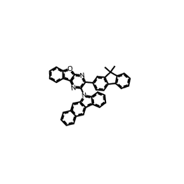 CC1(C)c2ccccc2-c2ccc(-c3nc4oc5ccccc5c4nc3-n3c4ccccc4c4cc5ccccc5cc43)cc21